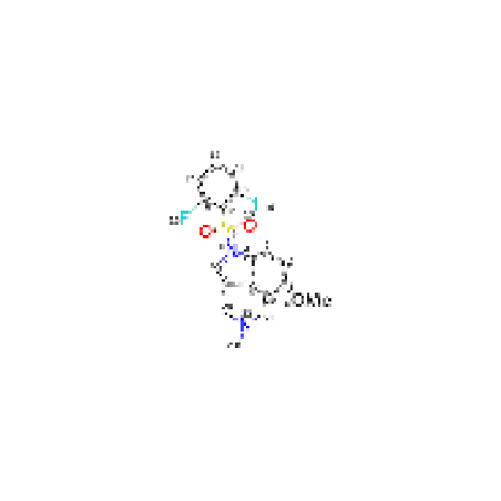 COc1ccc2c(ccn2S(=O)(=O)c2c(F)cccc2F)c1CN(C)C